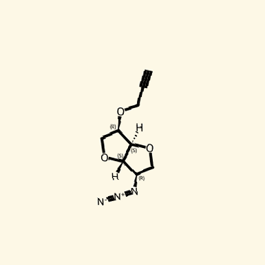 C#CCO[C@@H]1CO[C@@H]2[C@@H]1OC[C@H]2N=[N+]=[N-]